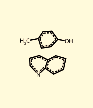 Cc1ccc(O)cc1.c1ccc2ncccc2c1